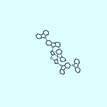 c1ccc2c(c1)-c1ccccc1C21c2cc(-n3c4ccccc4c4cc(-n5c6ccccc6c6ccccc65)ccc43)ccc2Oc2ccc(-n3c4ccccc4c4cc(-n5c6ccccc6c6ccccc65)ccc43)cc21